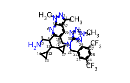 Cc1nn(C)c2nc(C(CN)C(C3CC3)C3CC3)c(CN(Cc3cc(C(F)(F)F)cc(C(F)(F)F)c3)c3nnn(C)n3)cc12